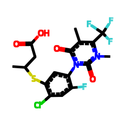 Cc1c(C(F)(F)F)n(C)c(=O)n(-c2cc(SC(C)CC(=O)O)c(Cl)cc2F)c1=O